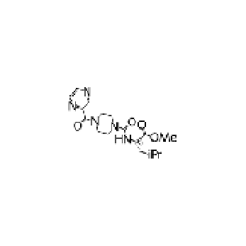 COC(=O)[C@H](CC(C)C)NC(=O)N1CCN(C(=O)c2cnccn2)CC1